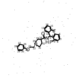 O=C(NC(c1ccccc1F)c1ccccc1F)C1CCN(CCOc2ccccc2)CC1